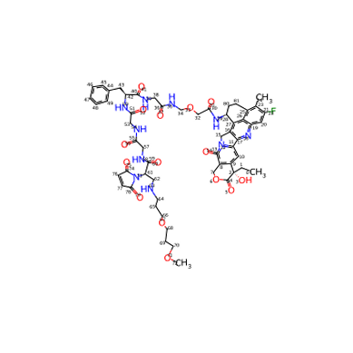 CC[C@@]1(O)C(=O)OCc2c1cc1n(c2=O)Cc2c-1nc1cc(F)c(C)c3c1c2[C@@H](NC(=O)COCNC(=O)CNC(=O)[C@H](Cc1ccccc1)NC(=O)CNC(=O)CNC(=O)C(CNCCCOCCCOC)N1C(=O)C=CC1=O)CC3